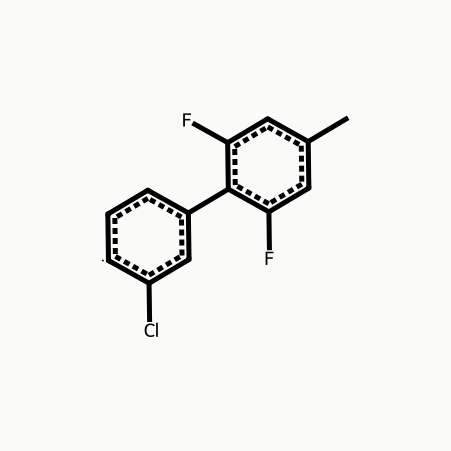 Cc1cc(F)c(-c2cc[c]c(Cl)c2)c(F)c1